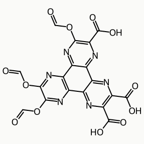 O=COc1nc2c(nc1OC=O)c1nc(C(=O)O)c(C(=O)O)nc1c1nc(C(=O)O)c(OC=O)nc21